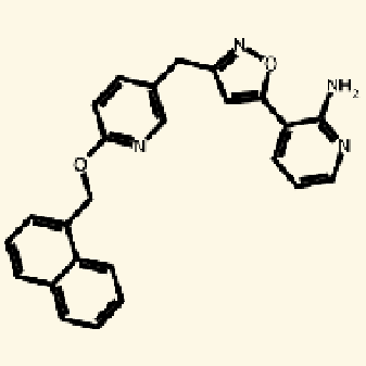 Nc1ncccc1-c1cc(Cc2ccc(OCc3cccc4ccccc34)nc2)no1